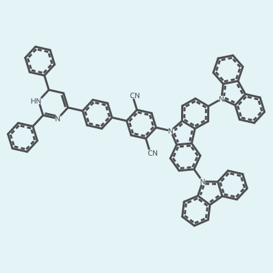 N#Cc1cc(-n2c3ccc(-n4c5ccccc5c5ccccc54)cc3c3cc(-n4c5ccccc5c5ccccc54)ccc32)c(C#N)cc1-c1ccc(C2=CC(c3ccccc3)NC(c3ccccc3)=N2)cc1